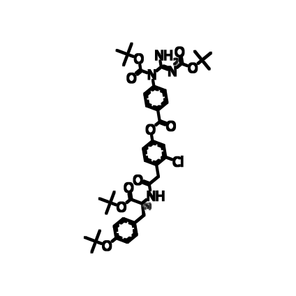 CC(C)(C)OC(=O)N=C(N)N(C(=O)OC(C)(C)C)c1ccc(C(=O)Oc2ccc(CC(=O)N[C@@H](Cc3ccc(OC(C)(C)C)cc3)C(=O)OC(C)(C)C)c(Cl)c2)cc1